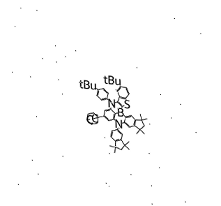 CC(C)(C)c1ccc(N2c3cc(C45CCC(CC4)CC5)cc4c3B(c3cc5c(cc3N4c3ccc4c(c3)C(C)(C)CC4(C)C)C(C)(C)CC5(C)C)c3sc4ccc(C(C)(C)C)cc4c32)cc1